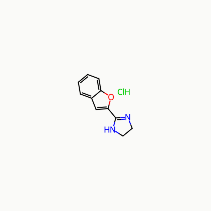 Cl.c1ccc2oc(C3=NCCN3)cc2c1